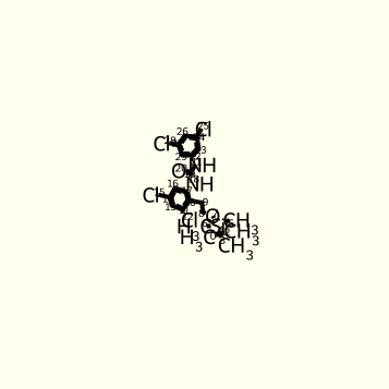 CC(C)(C)[Si](C)(C)OCCc1c(Cl)cc(Cl)cc1NC(=O)Nc1cc(Cl)cc(Cl)c1